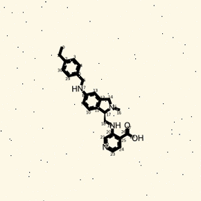 CCc1ccc(CNc2ccc3c(c2)CN(C)[C@H]3CNc2cnccc2C(=O)O)cc1